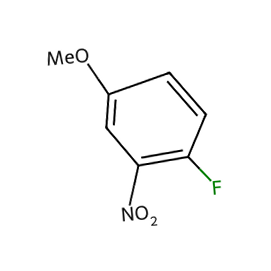 COc1ccc(F)c([N+](=O)[O-])c1